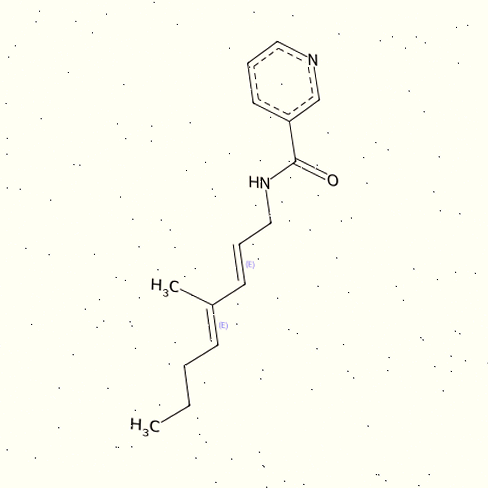 CCC/C=C(C)/C=C/CNC(=O)c1cccnc1